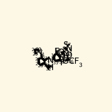 O=C(ON(c1cscn1)S(=O)(=O)c1c(F)cc(NCc2c(CN3CCC3)cccc2C2CC2)cc1F)C(F)(F)F